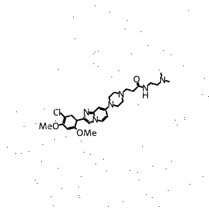 COC1=CC(OC)=C(Cl)CC1c1cn2ccc(N3CCN(CCC(=O)NCCN(C)C)CC3)cc2n1